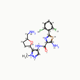 Cn1ncc(NC(=O)c2nc(-c3c(F)cccc3F)sc2N)c1C1CCC(CN)O1